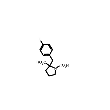 O=C(O)N1CCCC1(Cc1ccc(F)cc1)C(=O)O